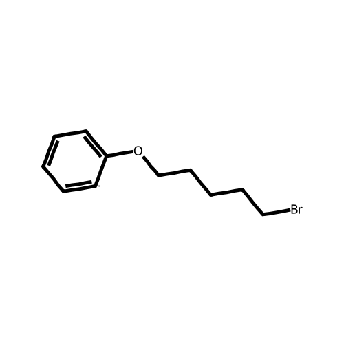 BrCCCCCOc1[c]cccc1